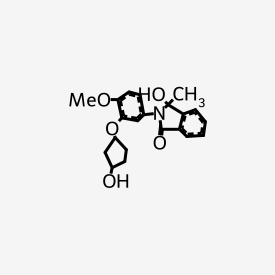 COc1ccc(N2C(=O)c3ccccc3C2(C)O)cc1OC1CCC(O)C1